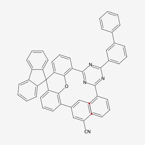 N#Cc1cccc(-c2cccc3c2Oc2c(-c4nc(-c5ccccc5)nc(-c5cccc(-c6ccccc6)c5)n4)cccc2C32c3ccccc3-c3ccccc32)c1